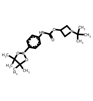 CC(C)(C)N1CC(OC(=O)Nc2ccc(B3OC(C)(C)C(C)(C)O3)cc2)C1